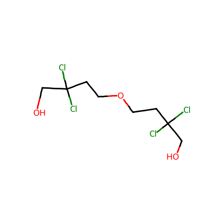 OCC(Cl)(Cl)CCOCCC(Cl)(Cl)CO